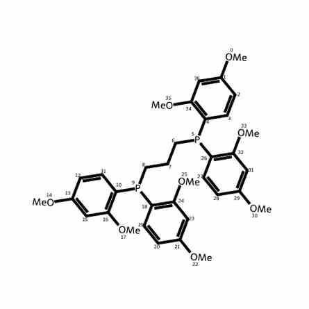 COc1ccc(P(CCCP(c2ccc(OC)cc2OC)c2ccc(OC)cc2OC)c2ccc(OC)cc2OC)c(OC)c1